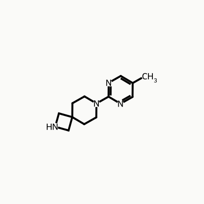 Cc1cnc(N2CCC3(CC2)CNC3)nc1